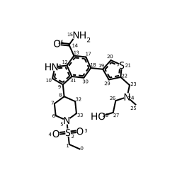 CCS(=O)(=O)N1CCC(c2c[nH]c3c(C(N)=O)cc(-c4csc(CN(C)CCO)c4)cc23)CC1